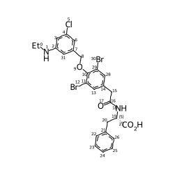 CCNc1cc(Cl)cc(COc2c(Br)cc(CC(=O)N[C@@H](Cc3ccccc3)C(=O)O)cc2Br)c1